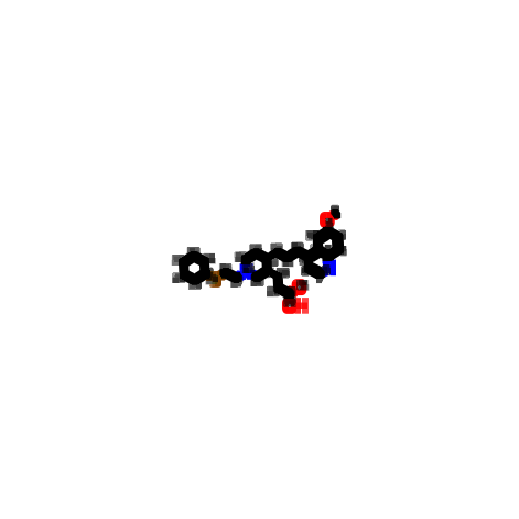 COc1ccc2nccc(CCC[C@@H]3CCN(CCSC4CCCCC4)C[C@@H]3CCC(=O)O)c2c1